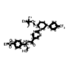 CCC(F)(F)OC[C@@H]1CC[C@@H](c2ccc(C(F)(F)F)cc2)CN1c1ncc(C(=O)N[C@@H](CO)c2ccc(S(=O)(=O)CC)cc2)cn1